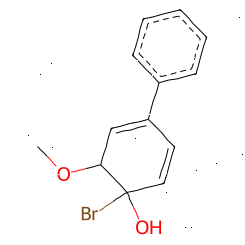 COC1C=C(c2ccccc2)C=CC1(O)Br